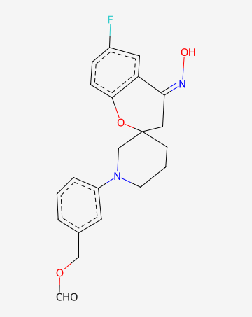 O=COCc1cccc(N2CCCC3(C/C(=N/O)c4cc(F)ccc4O3)C2)c1